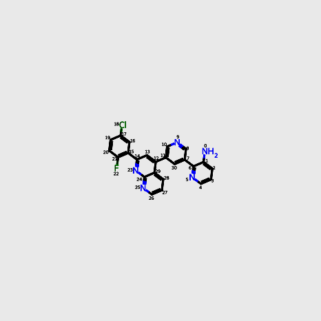 Nc1cccnc1-c1cncc(-c2cc(-c3cc(Cl)ccc3F)nc3ncccc23)c1